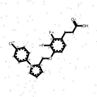 O=C(O)CCc1ccc(OCc2cccn2-c2ccc(Cl)cc2)c(F)c1F